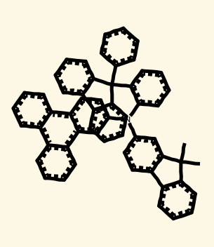 CC1(C)c2ccccc2-c2ccc(N(c3ccc4c5ccccc5c5ccccc5c4c3)c3ccccc3C3(c4ccccc4)c4ccccc4-c4ccccc43)cc21